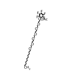 C=CCCCCCCCCCOCCOCCOCCOCCOCCOCCOC1(OC(C)=O)C(F)=C(F)C(F)=C(F)C1F